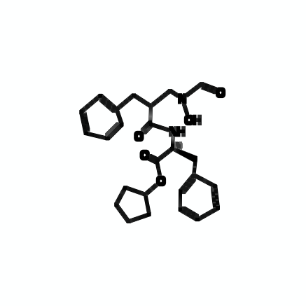 O=CN(O)CC(Cc1ccccc1)C(=O)N[C@@H](Cc1ccccc1)C(=O)OC1CCCC1